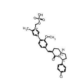 COc1cc(C=C2CC[C@H]3CC[C@@H](c4ccc(Cl)cc4)N3C2=O)ccc1-n1cc(C)[n+](COP(=O)([O-])O)c1